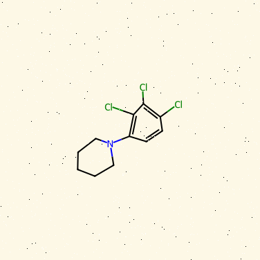 Clc1ccc(N2CCCCC2)c(Cl)c1Cl